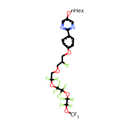 CCCCCCOc1cnc(-c2ccc(OCC(F)COCC(F)(F)OC(F)(F)C(F)(F)OC(F)(F)C(F)(F)OC(F)(F)F)cc2)nc1